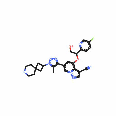 Cc1c(-c2cc(OC(CO)c3ccc(F)cn3)c3c(C#N)cnn3c2)nnn1C1CC2(CCNCC2)C1